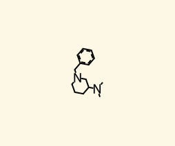 CN(C)C1CCCN(Cc2ccccc2)C1